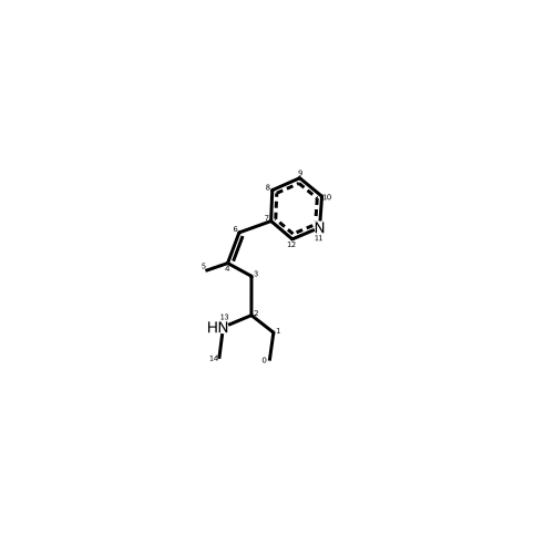 CCC(C/C(C)=C\c1cccnc1)NC